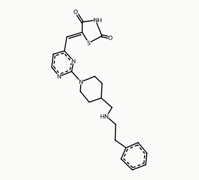 O=C1NC(=O)C(=Cc2ccnc(N3CCC(CNCCc4ccccc4)CC3)n2)S1